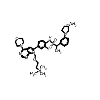 CC(c1cccc(N2CC[C@@H](N)C2)c1)S(=O)(=O)Nc1ccc(-c2cc3c(N4CCOCC4)ncnc3n2COCC[Si](C)(C)C)cc1F